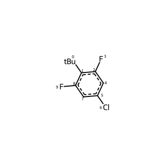 CC(C)(C)c1c(F)cc(Cl)cc1F